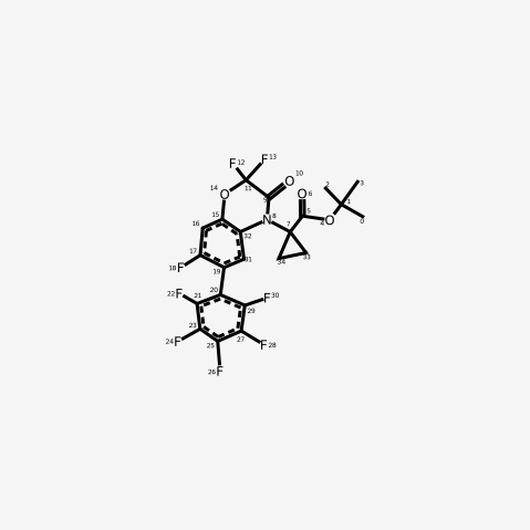 CC(C)(C)OC(=O)C1(N2C(=O)C(F)(F)Oc3cc(F)c(-c4c(F)c(F)c(F)c(F)c4F)cc32)CC1